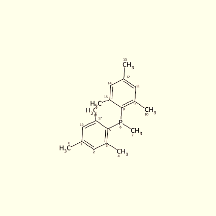 Cc1cc(C)c(P(C)c2c(C)cc(C)cc2C)c(C)c1